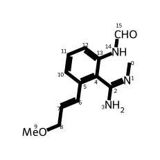 C/N=C(/N)c1c(/C=C/COC)cccc1NC=O